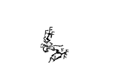 CCC[C@H]1N(Cc2cnccc2C(F)(F)F)CCC[C@]1(C=O)Oc1csc(C(F)(F)F)c1